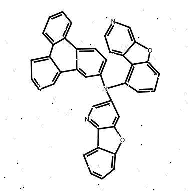 c1ccc2c(c1)oc1cc(N(c3ccc4c5ccccc5c5ccccc5c4c3)c3cccc4oc5cnccc5c34)cnc12